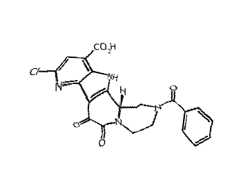 O=C1C(=O)N2CCN(C(=O)c3ccccc3)C[C@H]2c2[nH]c3c(C(=O)O)cc(Cl)nc3c21